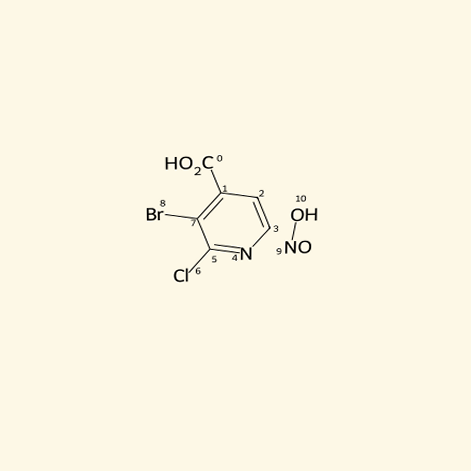 O=C(O)c1ccnc(Cl)c1Br.O=NO